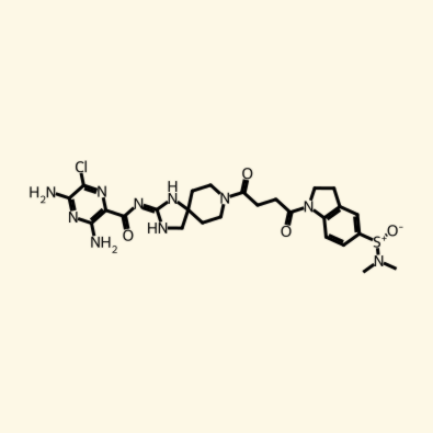 CN(C)[S+]([O-])c1ccc2c(c1)CCN2C(=O)CCC(=O)N1CCC2(CC1)CN/C(=N\C(=O)c1nc(Cl)c(N)nc1N)N2